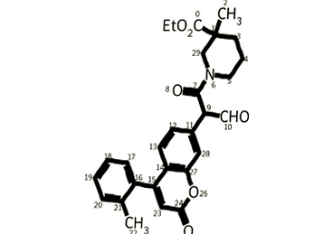 CCOC(=O)C1(C)CCCN(C(=O)C(C=O)c2ccc3c(-c4ccccc4C)cc(=O)oc3c2)C1